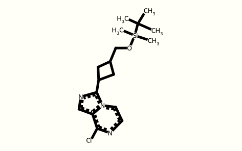 CC(C)(C)[Si](C)(C)OCC1CC(c2ncc3c(Cl)nccn23)C1